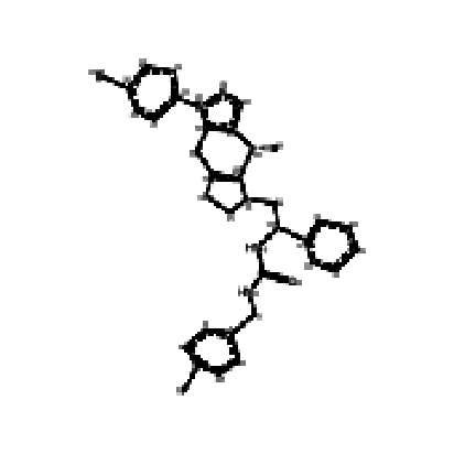 Cc1ccc(CNC(=O)NC(C[C@H]2CCC3=C2[C@@H](C)c2cnn(-c4ccc(F)cc4)c2C3)c2ccccc2)cc1